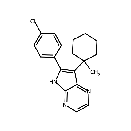 CC1(c2c(-c3ccc(Cl)cc3)[nH]c3nccnc23)CCCCC1